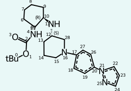 CC(C)(C)OC(=O)N[C@@H]1CCCC[C@H]1N[C@H]1CCCN(c2ccc(-n3cccn3)cc2)C1